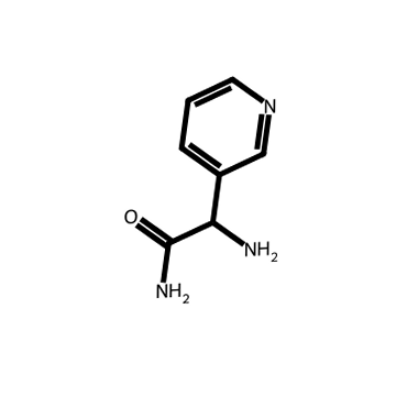 NC(=O)C(N)c1cccnc1